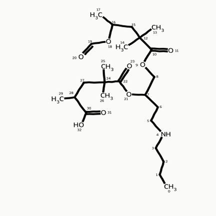 CCCCNCCC(COC(=O)C(C)(C)CC(C)OC=O)OC(=O)C(C)(C)CC(C)C(=O)O